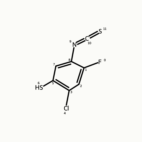 Fc1cc(Cl)c(S)cc1N=C=S